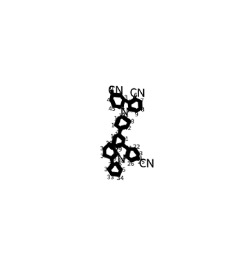 N#CC1=CC2c3c(C#N)cccc3N(c3ccc(-c4cccc(-c5ccc(C#N)cc5-n5c6c(c7ccccc75)CCC=C6)c4)cc3)C2C=C1